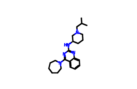 CC(C)CN1CCC[C@@H](Nc2nc(N3CCCCCC3)c3ccccc3n2)C1